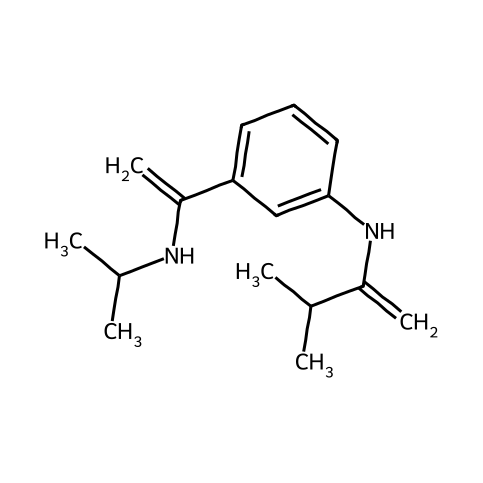 C=C(NC(C)C)c1cccc(NC(=C)C(C)C)c1